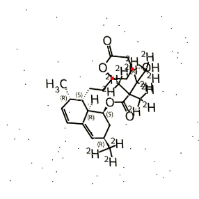 [2H]C([2H])([2H])[C@H]1C=C2C=C[C@H](C)[C@H](CCC3C[C@@H](O)CC(=O)O3)[C@H]2[C@@H](OC(=O)C(C([2H])([2H])[2H])(C([2H])([2H])[2H])C([2H])([2H])C([2H])([2H])[2H])C1